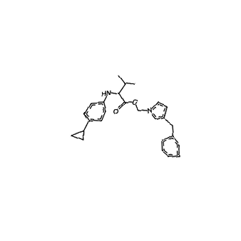 CC(C)C(Nc1ccc(C2CC2)cc1)C(=O)OCn1ccc(Cc2ccccc2)c1